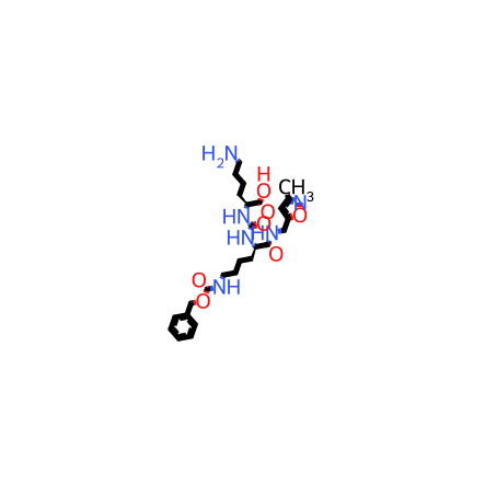 Cc1cc(CNC(=O)[C@@H](CCCCNC(=O)OCc2ccccc2)NC(=O)N[C@@H](CCCCN)C(=O)O)on1